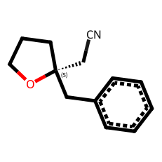 N#CC[C@@]1(Cc2ccccc2)CCCO1